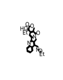 CCON=Cc1c2c(nc3ccccc13)-c1cc3c(c(=O)n1C2)COC(=O)[C@]3(O)CC